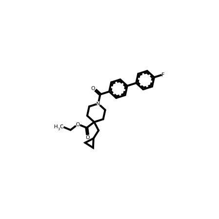 CCOC(=O)C1(CC2CC2)CCN(C(=O)c2ccc(-c3ccc(F)cc3)cc2)CC1